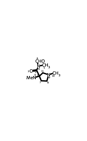 CNC1(C(=O)N(C)C=O)CCN(C)C1